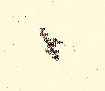 COc1ccc(CCN)cc1/N=N/c1ccc(C(=O)N[C@@H](CCCCN(N)/C=C(\N)NC(=O)CCCC[C@H]2SCC3C2NC(=O)N3C)C(=O)NCCCOCCOCCOCCCNC(=O)c2ccc(C(=O)c3ccccc3)cc2)cc1